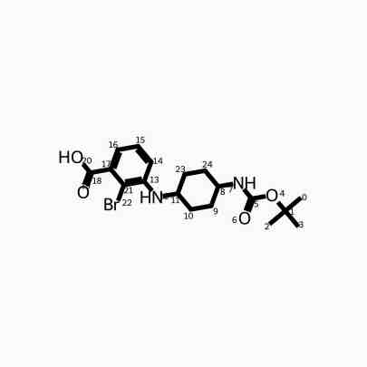 CC(C)(C)OC(=O)NC1CCC(Nc2cccc(C(=O)O)c2Br)CC1